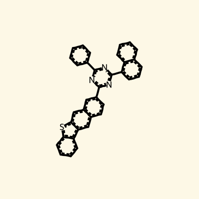 c1ccc(-c2nc(-c3ccc4cc5c(cc4c3)sc3ccccc35)nc(-c3cccc4ccccc34)n2)cc1